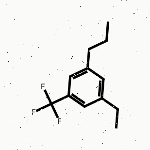 CCCc1cc(CC)cc(C(F)(F)F)c1